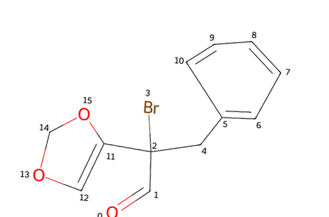 O=CC(Br)(Cc1ccccc1)C1=COCO1